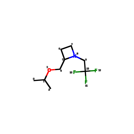 CC(C)OCC1CCN1CC(F)(F)F